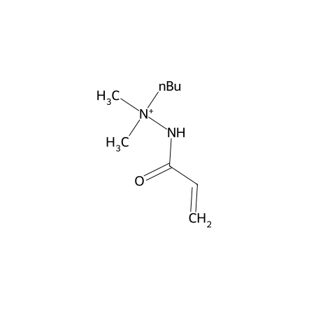 C=CC(=O)N[N+](C)(C)CCCC